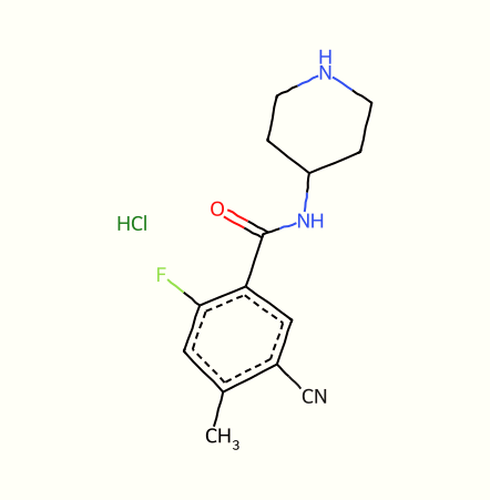 Cc1cc(F)c(C(=O)NC2CCNCC2)cc1C#N.Cl